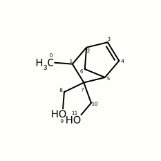 CC1C2C=CC(C2)C1(CO)CO